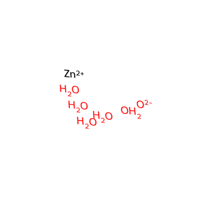 O.O.O.O.O.[O-2].[Zn+2]